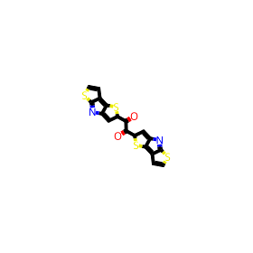 O=C(C(=O)C1C=C2N=c3sccc3=C2S1)C1C=C2N=c3sccc3=C2S1